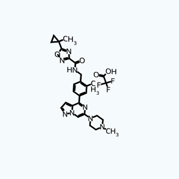 Cc1cc(-c2nc(N3CCN(C)CC3)cn3nccc23)ccc1CNC(=O)c1noc(C2(C)CC2)n1.O=C(O)C(F)(F)F